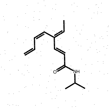 C=C\C=C/C(/C=C/C(=O)NC(C)C)=C\C